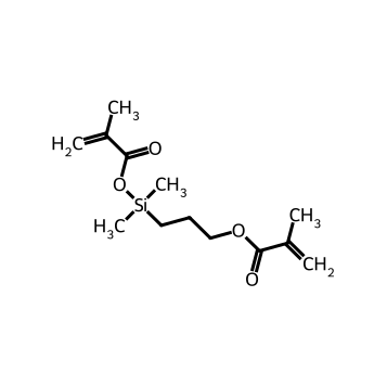 C=C(C)C(=O)OCCC[Si](C)(C)OC(=O)C(=C)C